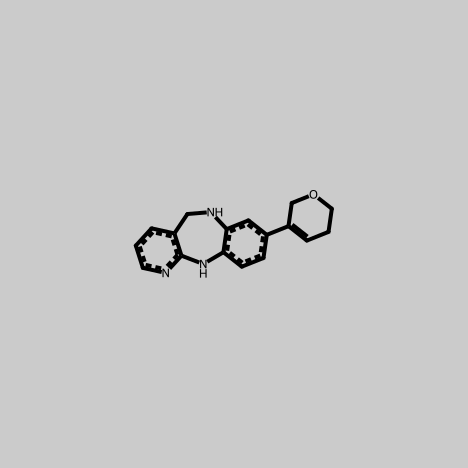 C1=C(c2ccc3c(c2)NCc2cccnc2N3)COCC1